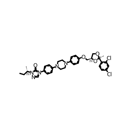 CC[C@H](C)n1ncn(-c2ccc(N3CCN(c4ccc(OC[C@H]5CO[C@@](C)(c6ccc(Cl)cc6Cl)O5)cc4)CC3)cc2)c1=O